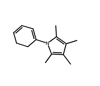 Cc1c(C)c(C)n(C2=CC=CCC2)c1C